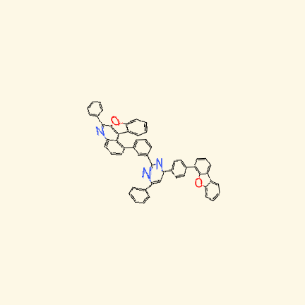 c1ccc(-c2cc(-c3ccc(-c4cccc5c4oc4ccccc45)cc3)nc(-c3cccc(-c4cccc5nc(-c6ccccc6)c6oc7ccccc7c6c45)c3)n2)cc1